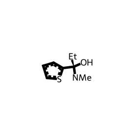 CC[C@@](O)(NC)c1cccs1